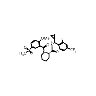 COc1ccc(S(C)(=O)=O)cc1C(=O)N1CCCC[C@@H]1C(=O)N[C@@H](c1ccc(C(F)(F)F)cc1F)C1CC1